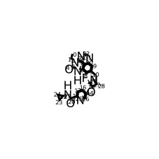 CCN1C(=O)Nc2c(F)c(CN3C[C@H](Oc4ccc(C(=O)NC5CC5)nc4)[C@H]3C)cc3ncnc1c23